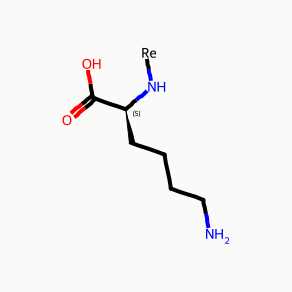 NCCCC[C@H]([NH][Re])C(=O)O